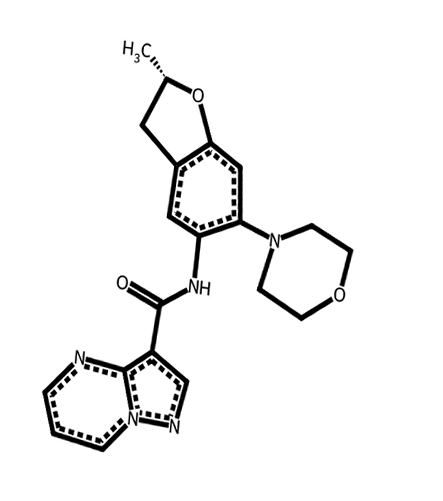 C[C@H]1Cc2cc(NC(=O)c3cnn4cccnc34)c(N3CCOCC3)cc2O1